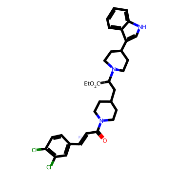 CCOC(=O)C(CC1CCN(C(=O)/C=C/c2ccc(Cl)c(Cl)c2)CC1)N1CCC(c2c[nH]c3ccccc23)CC1